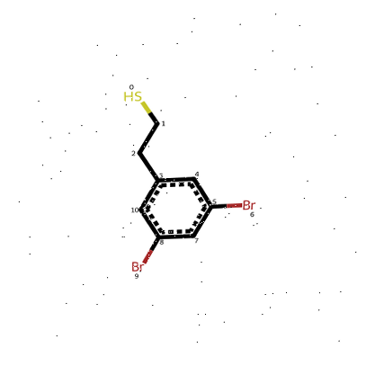 SCCc1cc(Br)cc(Br)c1